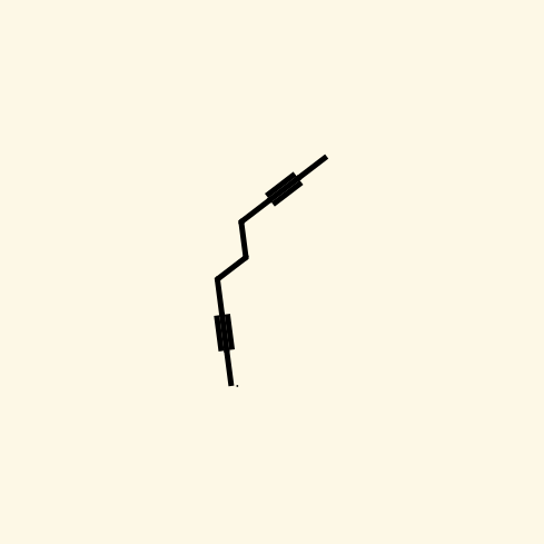 [CH2]C#CCCCC#CC